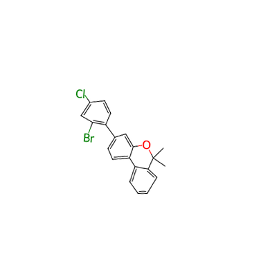 CC1(C)Oc2cc(-c3ccc(Cl)cc3Br)ccc2-c2ccccc21